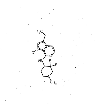 CN1CCC(Nc2cccc3c(CC(F)(F)F)c[s+]([O-])c23)C(F)(F)C1